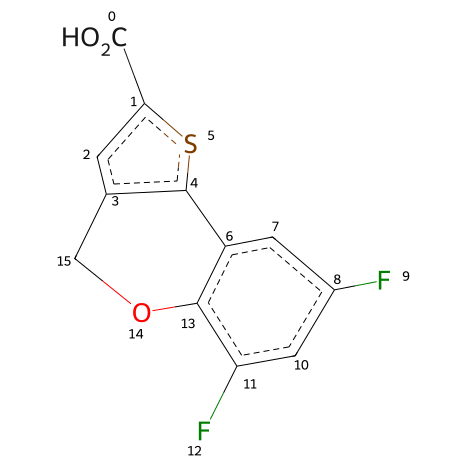 O=C(O)c1cc2c(s1)-c1cc(F)cc(F)c1OC2